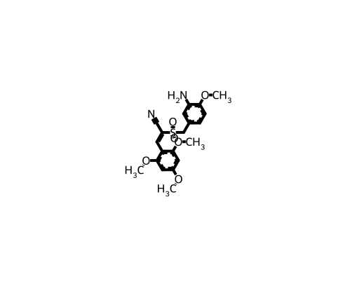 COc1cc(OC)c(/C=C(/C#N)S(=O)(=O)Cc2ccc(OC)c(N)c2)c(OC)c1